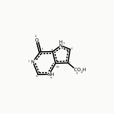 O=C(O)c1c[nH]c2c(=O)nc[nH]c12